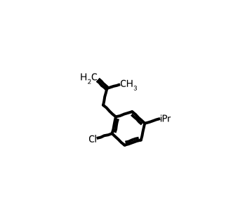 C=C(C)Cc1cc(C(C)C)ccc1Cl